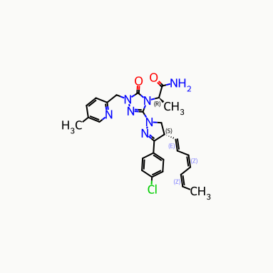 C\C=C/C=C\C=C\[C@H]1CN(c2nn(Cc3ccc(C)cn3)c(=O)n2[C@H](C)C(N)=O)N=C1c1ccc(Cl)cc1